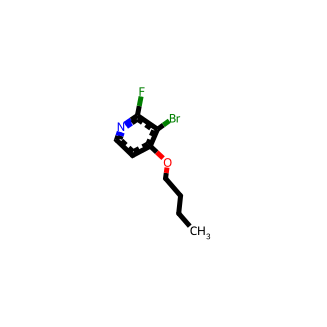 CCCCOc1ccnc(F)c1Br